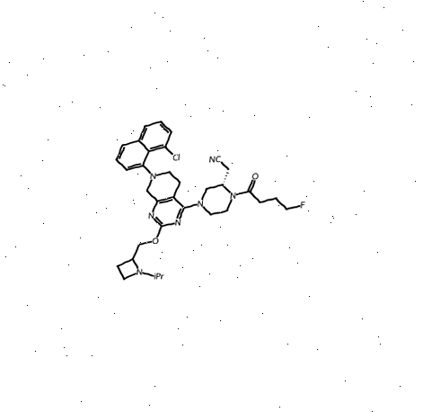 CC(C)N1CCC1COc1nc2c(c(N3CCN(C(=O)CCCF)[C@@H](CC#N)C3)n1)CCN(c1cccc3cccc(Cl)c13)C2